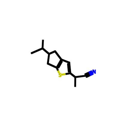 CC(C#N)c1cc2c(s1)CC(C(C)C)C2